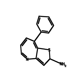 NC1C=C2N=CC=CC(c3ccccc3)=C2S1